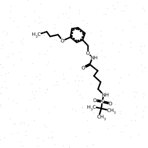 CCCCOc1cccc(CONC(=O)CCCCNS(=O)(=O)C(C)(C)C)c1